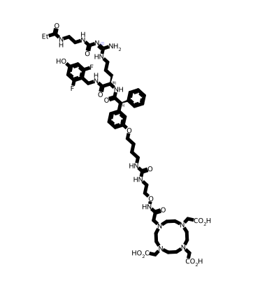 CCC(=O)NCCNC(=O)/N=C(/N)NCCC[C@@H](NC(=O)[C@@H](c1ccccc1)c1cccc(OCCCCNC(=O)NCCONC(=O)CN2CCN(CC(=O)O)CCN(CC(=O)O)CCN(CC(=O)O)CC2)c1)C(=O)NCc1c(F)cc(O)cc1F